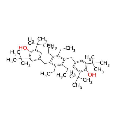 CCc1c(CC)c(Cc2cc(C(C)(C)C)c(O)c(C(C)(C)C)c2)c(CC)c(CC)c1Cc1cc(C(C)(C)C)c(O)c(C(C)(C)C)c1